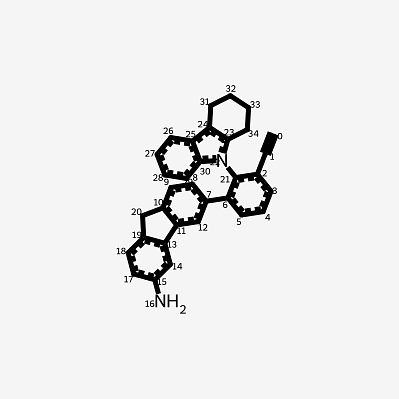 C#Cc1cccc(-c2ccc3c(c2)-c2cc(N)ccc2C3)c1-n1c2c(c3ccccc31)CCCC2